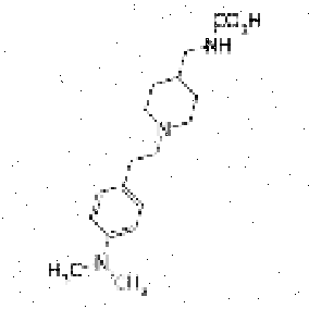 CN(C)c1ccc(CCN2CCC(CNC(=O)O)CC2)cc1